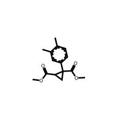 COC(=O)C1CC1(C(=O)OC)c1ccc(C)c(C)c1